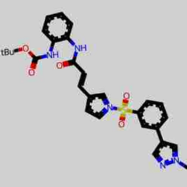 Cn1cc(-c2cccc(S(=O)(=O)n3ccc(C=CC(=O)Nc4ccccc4NC(=O)OC(C)(C)C)c3)c2)cn1